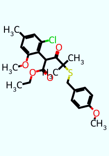 CCOC(=O)C(C(=O)C(C)(C)SCc1ccc(OC)cc1)c1c(Cl)cc(C)cc1OC